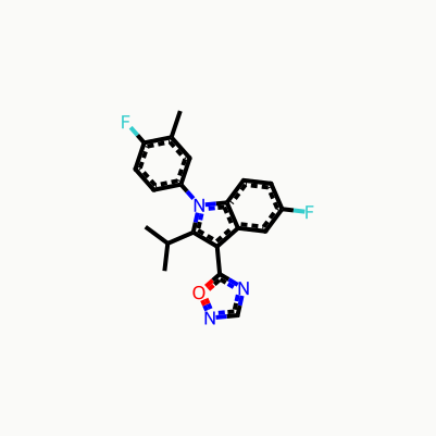 Cc1cc(-n2c(C(C)C)c(-c3ncno3)c3cc(F)ccc32)ccc1F